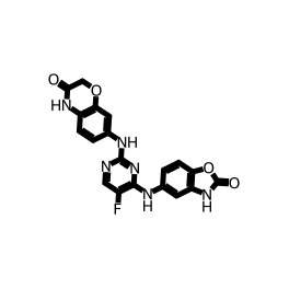 O=C1COc2cc(Nc3ncc(F)c(Nc4ccc5oc(=O)[nH]c5c4)n3)ccc2N1